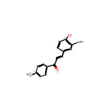 COc1cc(/C=C/C(=O)c2ccc(C)cc2)ccc1O